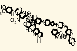 COc1cc(CN2CCN(C3CC4(CCN(c5ccc(C(=O)NS(=O)(=O)c6cc([N+](=O)[O-])c7c(n6)OC[C@H](C6CCC(C)(O)CC6)N7)c(N6c7cc8cc[nH]c8nc7O[C@H]7COCC[C@@H]76)c5)CC4)C3)[C@@H](c3ccccc3OC(C)C)C2)cnc1N1CCOCC1